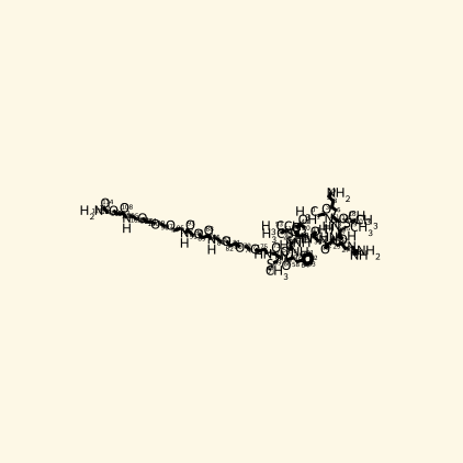 CCC(=O)N[C@@H](CCCCN)C(=O)N[C@@H](CSC(C)(C)C)C(=O)N[C@@H](CCCNC(=N)N)C(=O)NCC(=O)N[C@@H](CC(=O)O)C(=O)N[C@@H](CSC(C)(C)C)C(=O)N[C@@H](Cc1ccccc1)C(=O)N[C@@H](CSC)C(=O)NCCOCCOCCOCCNC(=O)COCC(=O)NCCOCCOCCOCCNC(=O)COCC(N)=O